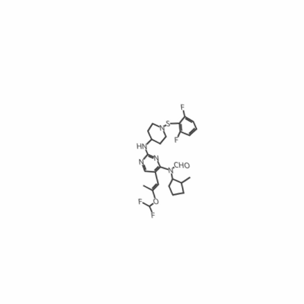 C/C(=C\c1cnc(NC2CCN(Sc3c(F)cccc3F)CC2)nc1N(C=O)C1CCCC1C)OC(F)F